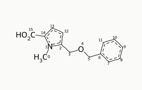 Cn1c(COCc2ccccc2)ccc1C(=O)O